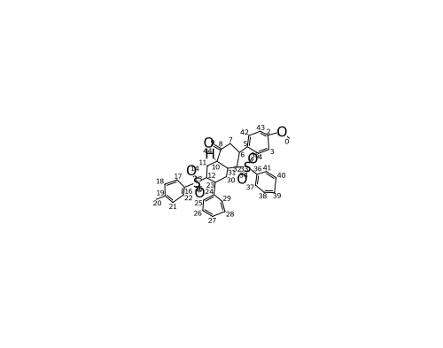 COc1ccc(C2CC(=O)[C@@H]3CC(S(=O)(=O)c4ccc(C)cc4)C(c4ccccc4)CC3C2S(=O)(=O)c2ccccc2)cc1